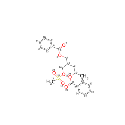 CC(CC(COC(=O)c1ccccc1)COS(C)(=O)=O)OC(=O)c1ccccc1